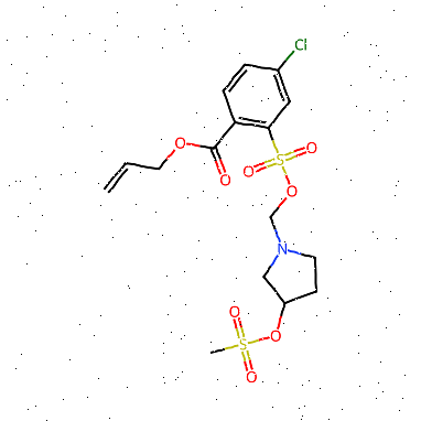 C=CCOC(=O)c1ccc(Cl)cc1S(=O)(=O)OCN1CCC(OS(C)(=O)=O)C1